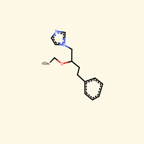 CCCCCCCCCCCOC(CCc1ccccc1)Cn1ccnc1